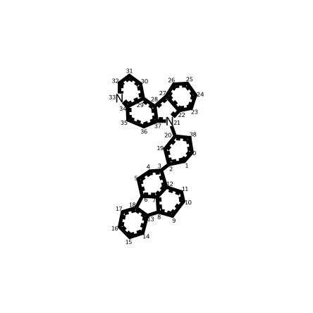 c1cc(-c2ccc3c4c(cccc24)-c2ccccc2-3)cc(-n2c3ccccc3c3c4cccnc4ccc32)c1